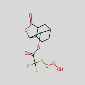 O=C1OC2C3CCC(CC13)C2OC(=O)C(F)(F)SOOO